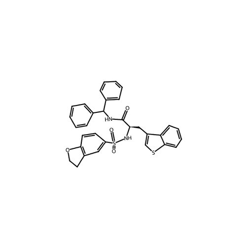 O=C(NC(c1ccccc1)c1ccccc1)[C@@H](Cc1csc2ccccc12)NS(=O)(=O)c1ccc2c(c1)CCO2